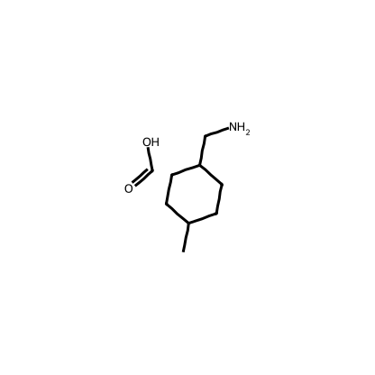 CC1CCC(CN)CC1.O=CO